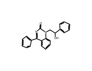 O=c1nc(-c2ccccc2)c2ccccc2n1CC(O)c1ccccc1